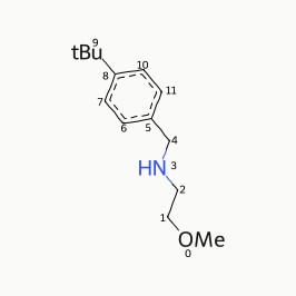 COCCNCc1ccc(C(C)(C)C)cc1